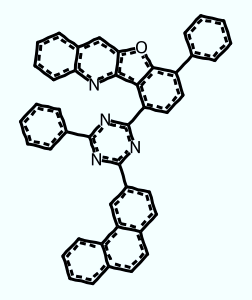 c1ccc(-c2nc(-c3ccc4ccc5ccccc5c4c3)nc(-c3ccc(-c4ccccc4)c4oc5cc6ccccc6nc5c34)n2)cc1